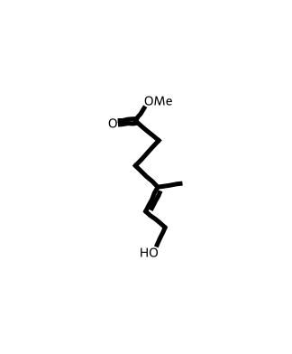 COC(=O)CC/C(C)=C/CO